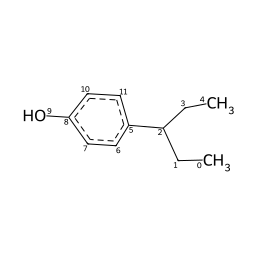 CCC(CC)c1ccc(O)cc1